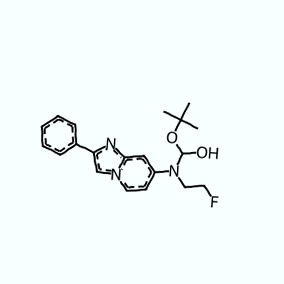 CC(C)(C)OC(O)N(CCF)c1ccn2cc(-c3ccccc3)nc2c1